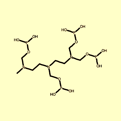 CN(CCN(CCN(COP(O)O)COP(O)O)COP(O)O)COP(O)O